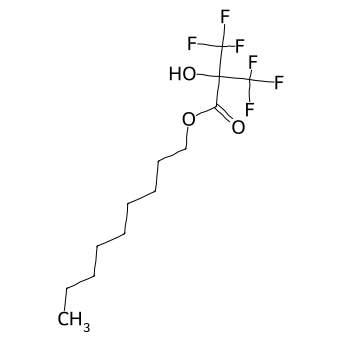 CCCCCCCCCOC(=O)C(O)(C(F)(F)F)C(F)(F)F